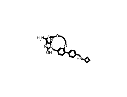 Nc1nc2nc3c1nc(O)n3Cc1ccc(-c3ccc(CNC4CCC4)cc3)c(c1)OCCCO2